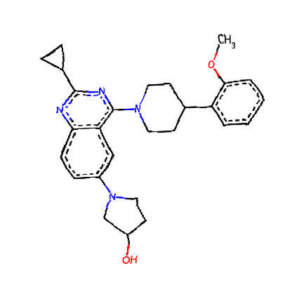 COc1ccccc1C1CCN(c2nc(C3CC3)nc3ccc(N4CCC(O)C4)cc23)CC1